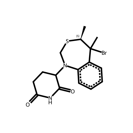 C[C@@H]1SCN(C2CCC(=O)NC2=O)c2ccccc2C1(C)Br